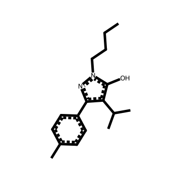 CCCCn1nc(-c2ccc(C)cc2)c(C(C)C)c1O